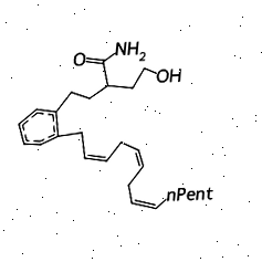 CCCCC/C=C\C/C=C\C/C=C\Cc1ccccc1CCC(CCO)C(N)=O